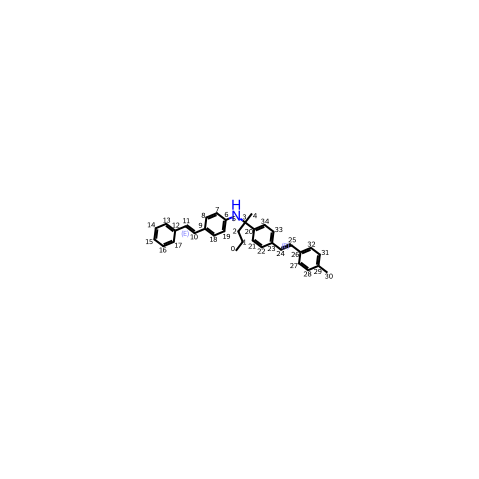 CCCC(C)(Nc1ccc(/C=C/c2ccccc2)cc1)c1ccc(/C=C/c2ccc(C)cc2)cc1